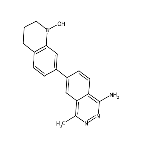 Cc1nnc(N)c2ccc(-c3ccc4c(c3)B(O)CCC4)cc12